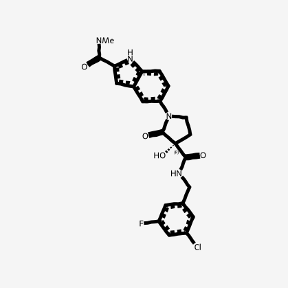 CNC(=O)c1cc2cc(N3CC[C@@](O)(C(=O)NCc4cc(F)cc(Cl)c4)C3=O)ccc2[nH]1